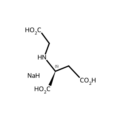 O=C(O)CN[C@@H](CC(=O)O)C(=O)O.[NaH]